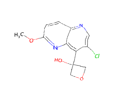 COc1ccc2ncc(Cl)c(C3(O)COC3)c2n1